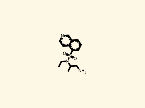 CCN(C(C)CN)S(=O)(=O)c1cccc2cnccc12